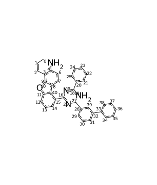 C/C=C\c1c(N)ccc2c1oc1cccc(C(/N=C(\N)c3ccccc3)=N/Cc3cccc(-c4ccccc4)c3)c12